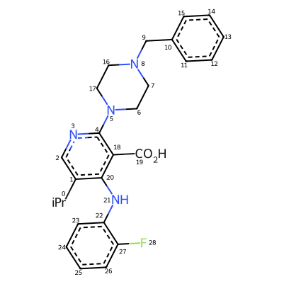 CC(C)c1cnc(N2CCN(Cc3ccccc3)CC2)c(C(=O)O)c1Nc1ccccc1F